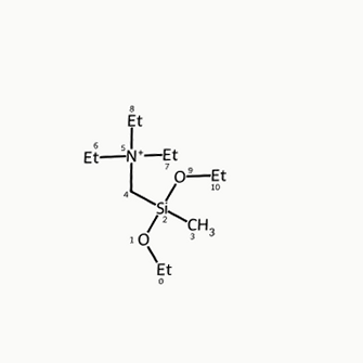 CCO[Si](C)(C[N+](CC)(CC)CC)OCC